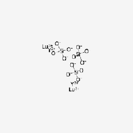 [Lu+3].[Lu+3].[O-][Si]([O-])([O-])[O-].[O-][Si]([O-])([O-])[O-].[O-][Si]([O-])([O-])[O-].[Y+3].[Y+3]